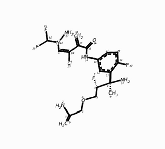 C=C(N)COC[C@H](F)[C@](C)(N)c1cc(NC(=O)C(=C)/C(Cl)=C\N(N)C(F)F)ccc1F